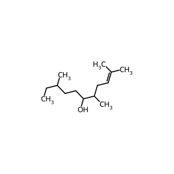 CCC(C)CCC(O)C(C)CC=C(C)C